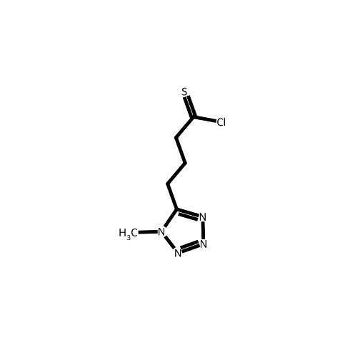 Cn1nnnc1CCCC(=S)Cl